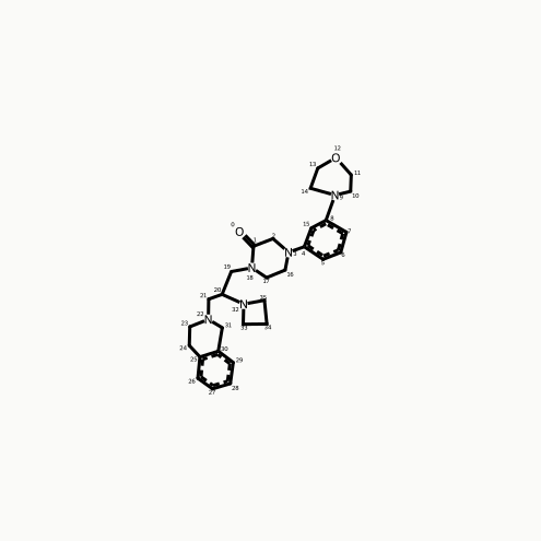 O=C1CN(c2cccc(N3CCOCC3)c2)CCN1CC(CN1CCc2ccccc2C1)N1CCC1